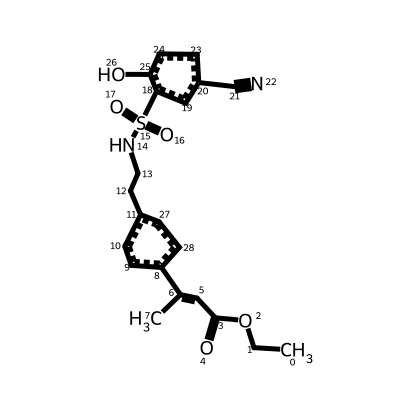 CCOC(=O)C=C(C)c1ccc(CCNS(=O)(=O)c2cc(C#N)ccc2O)cc1